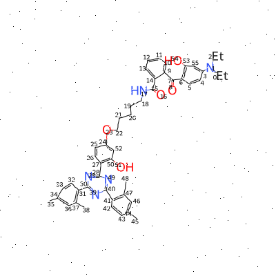 CCN(CC)c1ccc(C(=O)c2ccccc2C(=O)NCCCCCOc2ccc(-c3nc(-c4ccc(C)cc4C)nc(-c4ccc(C)cc4C)n3)c(O)c2)c(O)c1